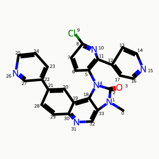 Cn1c(=O)n(-c2ccc(Cl)nc2-c2ccncc2)c2c3cc(-c4cccnc4)ccc3ncc21